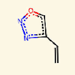 C=Cc1conn1